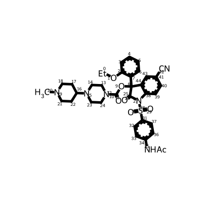 CCOc1ccccc1C1(OC(=O)N2CCN(C3CCN(C)CC3)CC2)C(=O)N(S(=O)(=O)c2ccc(NC(C)=O)cc2)c2ccc(C#N)cc21